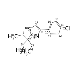 CCC(CC)(CN)c1nc(-c2ccc(Cl)cc2)cs1